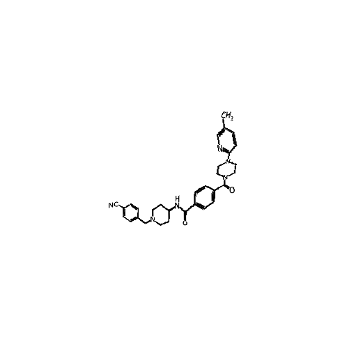 Cc1ccc(N2CCN(C(=O)c3ccc(C(=O)NC4CCN(Cc5ccc(C#N)cc5)CC4)cc3)CC2)nc1